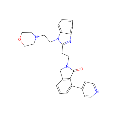 O=C1c2c(cccc2-c2ccncc2)CN1CCc1nc2ccccc2n1CCN1CCOCC1